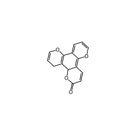 O=C1C=CC2=C3OC=CC=C3C3=C(CC=CO3)C2O1